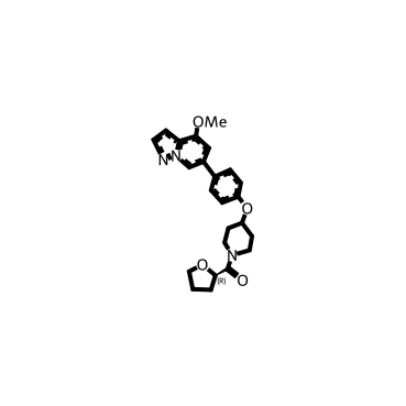 COc1cc(-c2ccc(OC3CCN(C(=O)[C@H]4CCCO4)CC3)cc2)cn2nccc12